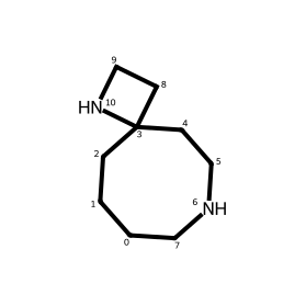 C1CCC2(CCNC1)CCN2